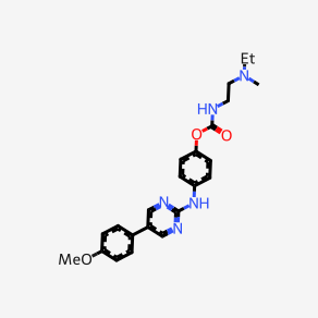 CCN(C)CCNC(=O)Oc1ccc(Nc2ncc(-c3ccc(OC)cc3)cn2)cc1